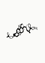 CC(=O)OC1=CC2=CC=C3[C@@H]4CC[C@H]([C@H](C)CC(C)C(=O)O)[C@@]4(C)CC[C@@H]3[C@@]2(C)C=C1